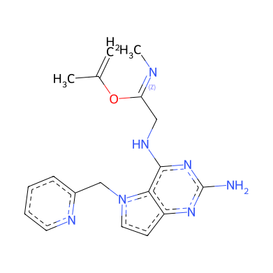 C=C(C)O/C(CNc1nc(N)nc2ccn(Cc3ccccn3)c12)=N\C